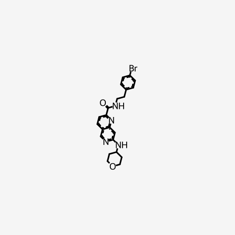 O=C(NCCc1ccc(Br)cc1)c1ccc2cnc(NC3CCOCC3)cc2n1